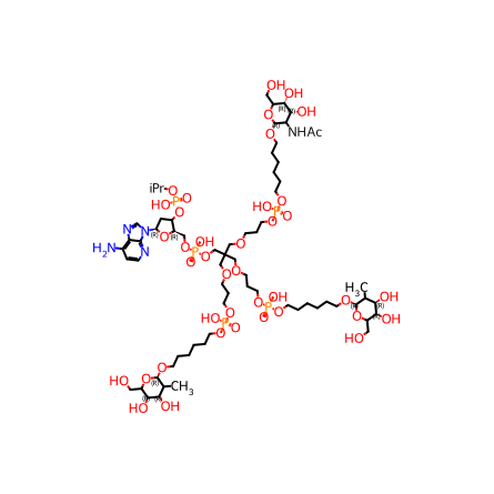 CC(=O)NC1[C@H](OCCCCCCOP(=O)(O)OCCCOCC(COCCCOP(=O)(O)OCCCCCCO[C@@H]2OC(CO)[C@H](O)[C@H](O)C2C)(COCCCOP(=O)(O)OCCCCCCO[C@@H]2OC(CO)[C@H](O)[C@H](O)C2C)COP(=O)(O)OC[C@H]2O[C@@H](n3cnc4c(N)ccnc43)CC2OP(=O)(O)OC(C)C)OC(CO)[C@H](O)[C@@H]1O